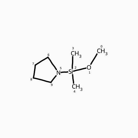 CO[Si](C)(C)N1CCCC1